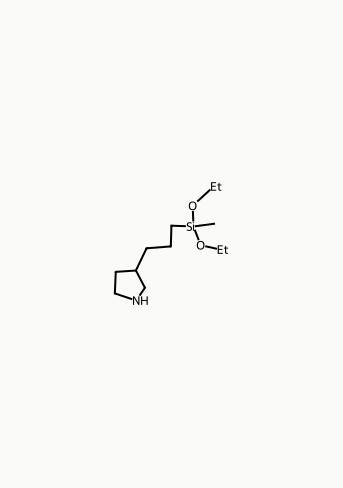 CCO[Si](C)(CCCC1CCNC1)OCC